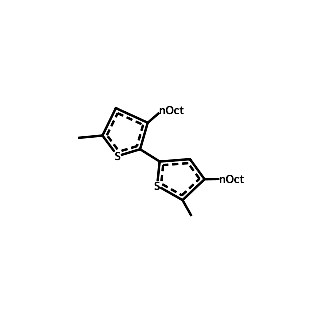 CCCCCCCCc1cc(-c2sc(C)cc2CCCCCCCC)sc1C